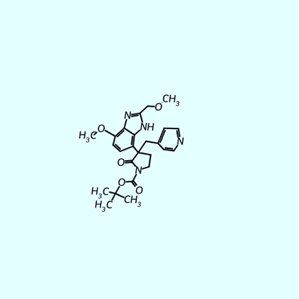 COCc1nc2c(OC)ccc(C3(Cc4ccncc4)CCN(C(=O)OC(C)(C)C)C3=O)c2[nH]1